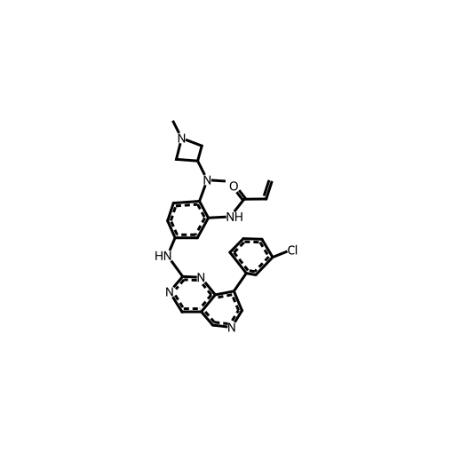 C=CC(=O)Nc1cc(Nc2ncc3cncc(-c4cccc(Cl)c4)c3n2)ccc1N(C)C1CN(C)C1